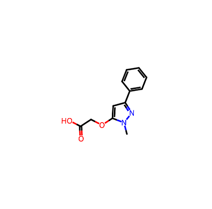 Cn1nc(-c2ccccc2)cc1OCC(=O)O